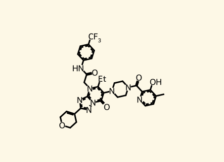 CCc1c(N2CCN(C(=O)c3nccc(C)c3O)CC2)c(=O)n2nc(C3=CCOCC3)nc2n1CC(=O)Nc1ccc(C(F)(F)F)cc1